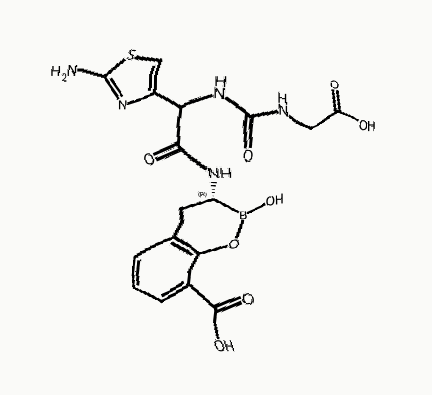 Nc1nc(C(NC(=O)NCC(=O)O)C(=O)N[C@H]2Cc3cccc(C(=O)O)c3OB2O)cs1